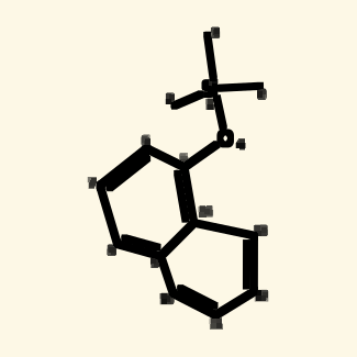 C[Si](C)(C)Oc1[c]ccc2ccccc12